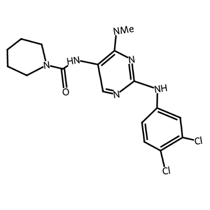 CNc1nc(Nc2ccc(Cl)c(Cl)c2)ncc1NC(=O)N1CCCCC1